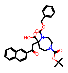 CC(C)(C)OC(=O)N1CCN(C(=O)OCc2ccccc2)C(CC(=O)c2ccc3ccccc3c2)(C(=O)O)CC1